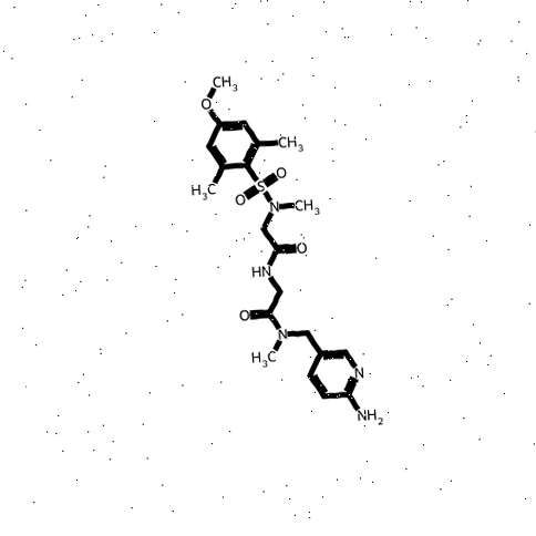 COc1cc(C)c(S(=O)(=O)N(C)CC(=O)NCC(=O)N(C)Cc2ccc(N)nc2)c(C)c1